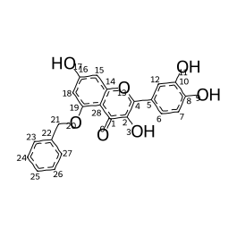 O=c1c(O)c(-c2ccc(O)c(O)c2)oc2cc(O)cc(OCc3ccccc3)c12